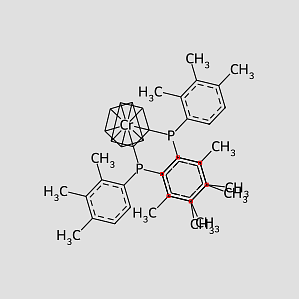 Cc1ccc(P(c2ccc(C)c(C)c2C)[C]23[CH]4[CH]5[CH]6[C]2(P(c2ccc(C)c(C)c2C)c2ccc(C)c(C)c2C)[Cr]54632789[CH]3[CH]2[CH]7[CH]8[CH]39)c(C)c1C